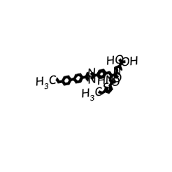 CCCC1CCC(C2CC=C(c3cnc(-c4ccc(CC(NC(=O)c5ccc(CC)s5)C(=O)N5CC(C(O)O)C5)cc4)nc3)CC2)CC1